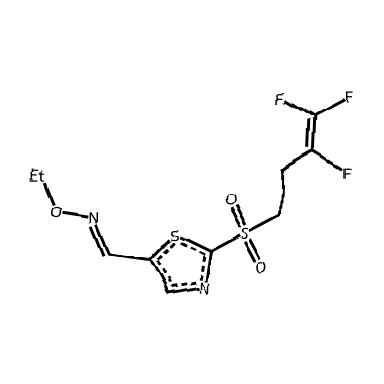 CCON=Cc1cnc(S(=O)(=O)CCC(F)=C(F)F)s1